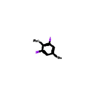 COc1c(I)cc(C(C)(C)C)cc1I